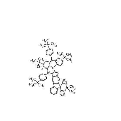 CC(C)(C)c1ccc(N2c3cc(C(C)(C)C)ccc3B3c4sc5cc6c(cc5c4N(c4ccc(C(C)(C)C)cc4)c4cc(C(C)(C)C)cc2c43)-c2ccccc2C62c3ccccc3C(C)(C)c3ccccc32)cc1